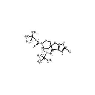 CC(C)(C)OC(=O)N1CCC2(CC1)Cc1sc(Cl)nc1/C2=N/[S@+]([O-])C(C)(C)C